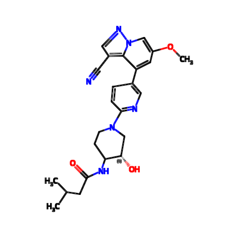 COc1cc(-c2ccc(N3CCC(NC(=O)CC(C)C)[C@@H](O)C3)nc2)c2c(C#N)cnn2c1